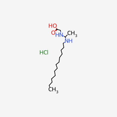 CCCCCCCCCCCCCCNC(C)NCC(=O)O.Cl